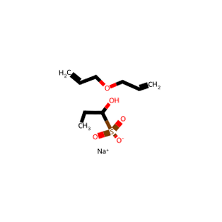 C=CCOCC=C.CCC(O)S(=O)(=O)[O-].[Na+]